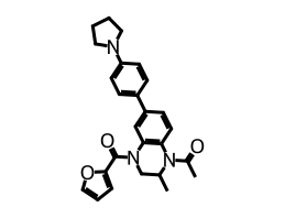 CC(=O)N1c2ccc(-c3ccc(N4CCCC4)cc3)cc2N(C(=O)c2ccco2)CC1C